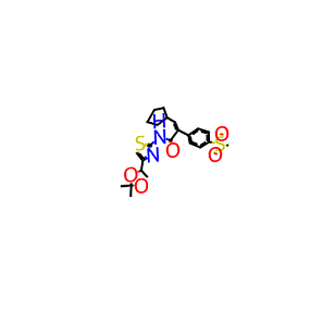 CC1(C)OCC(c2csc(NC(=O)C(=CC3CCCC3)c3ccc(S(C)(=O)=O)cc3)n2)O1